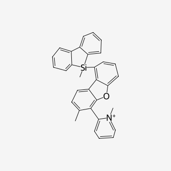 Cc1ccc2c(oc3cccc([Si]4(C)c5ccccc5-c5ccccc54)c32)c1-c1cccc[n+]1C